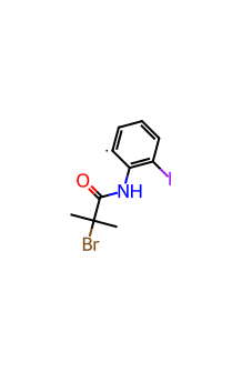 CC(C)(Br)C(=O)Nc1[c]cccc1I